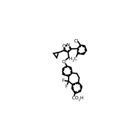 Cc1cccc(Cl)c1-c1noc(C2CC2)c1COc1ccc2c(c1)CCc1ccc(C(=O)O)cc1C2(F)F